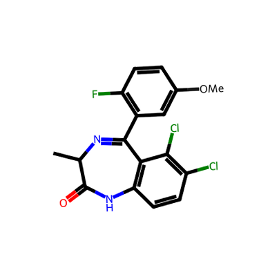 COc1ccc(F)c(C2=NC(C)C(=O)Nc3ccc(Cl)c(Cl)c32)c1